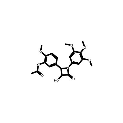 COc1ccc(C2C(O)C(=O)N2c2cc(OC)c(OC)c(OC)c2)cc1OC(C)=O